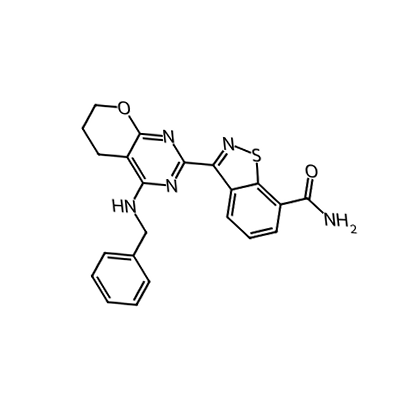 NC(=O)c1cccc2c(-c3nc(NCc4ccccc4)c4c(n3)OCCC4)nsc12